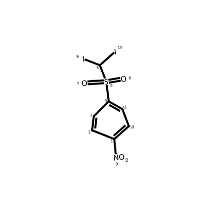 O=[N+]([O-])c1ccc(S(=O)(=O)C(I)I)cc1